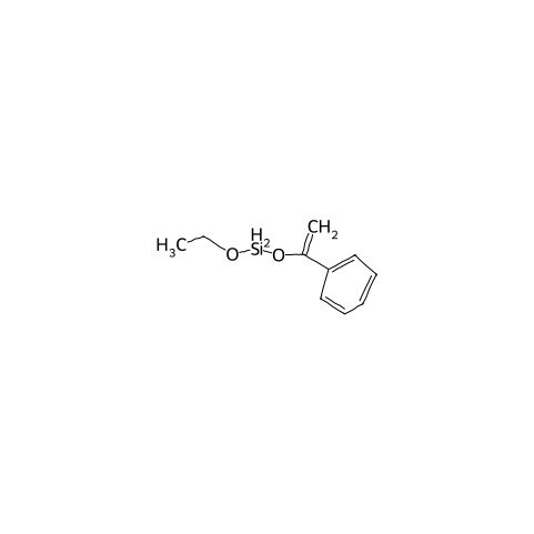 C=C(O[SiH2]OCC)c1ccccc1